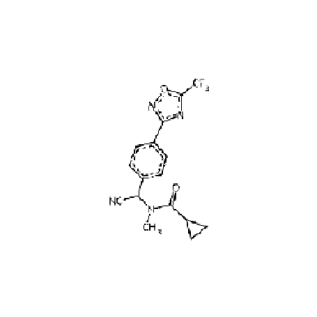 CN(C(=O)C1CC1)C(C#N)c1ccc(-c2noc(C(F)(F)F)n2)cc1